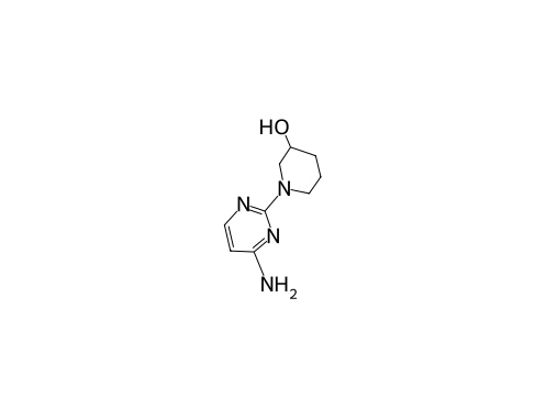 Nc1ccnc(N2CCCC(O)C2)n1